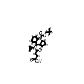 CC(C)(C)COC(=O)N1c2ccccc2C(N(C(=O)CCC(=O)O)C2CC2)C2CCCC21